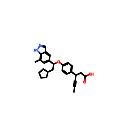 CC#CC(CC(=O)O)c1ccc(OC(CC2CCCC2)c2cc(C)c3[nH]ncc3c2)cc1